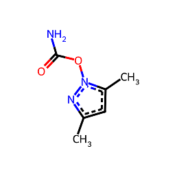 Cc1cc(C)n(OC(N)=O)n1